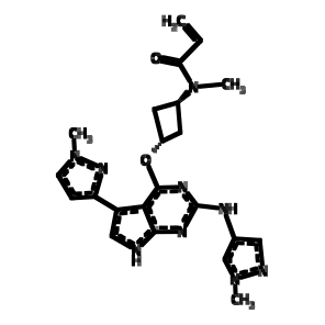 C=CC(=O)N(C)[C@H]1C[C@H](Oc2nc(Nc3cnn(C)c3)nc3[nH]cc(-c4ccn(C)n4)c23)C1